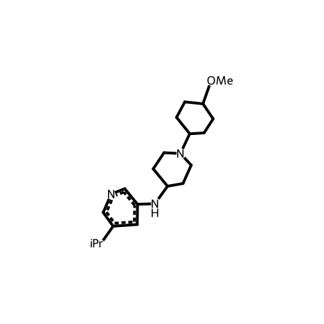 COC1CCC(N2CCC(Nc3cncc(C(C)C)c3)CC2)CC1